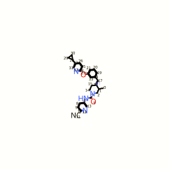 CC1CN(C(=O)Nc2ccc(C#N)nc2)CC/C1=C\c1cccc(Oc2ccc(C3CC3)cn2)c1